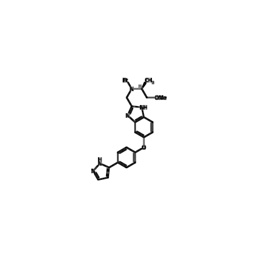 CCN(Cc1nc2cc(Oc3ccc(-c4ccn[nH]4)cc3)ccc2[nH]1)[C@@H](C)COC